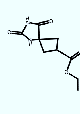 CCOC(=O)C1CC2(C1)NC(=O)NC2=O